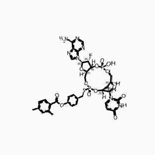 Cc1ccc(C(=O)Oc2ccc(CSP3(=O)OC[C@H]4O[C@@H](n5cnc6c(N)ncnc65)[C@H](F)[C@@H]4OP(=O)(O)OC[C@H]4O[C@@H](n5ccc(=O)[nH]c5=O)[C@H](O3)[C@@H]4F)cc2)c(C)c1